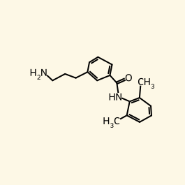 Cc1cccc(C)c1NC(=O)c1cccc(CCCN)c1